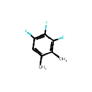 Cc1cc(F)c(F)c(F)c1C